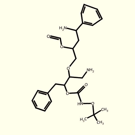 CC(C)(C)ONC(=O)OC(Cc1ccccc1)C(CN)OCC(CC(N)c1ccccc1)OC=O